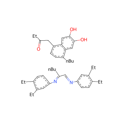 CCCCC(C=Nc1ccc(CC)c(CC)c1)=Nc1ccc(CC)c(CC)c1.CCCCc1ccc(CC(=O)CC)c2cc(O)c(O)cc12